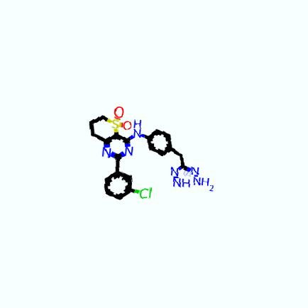 N=N/C(Cc1ccc(Nc2nc(-c3cccc(Cl)c3)nc3c2S(=O)(=O)CCC3)cc1)=N\N